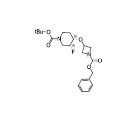 CC(C)(C)OC(=O)N1CC[C@H](OC2CN(C(=O)OCc3ccccc3)C2)[C@H](F)C1